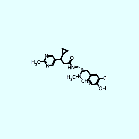 Cc1ncc(C(CC(=O)NC[C@H](Cc2ccc(O)c(Cl)c2)N(C)C)C2CC2)cn1